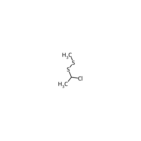 CSSC(C)Cl